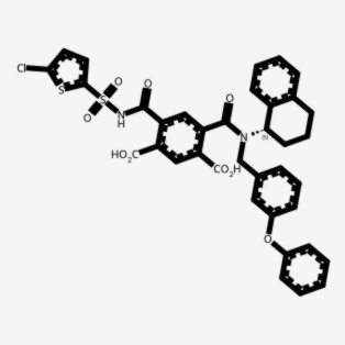 O=C(O)c1cc(C(=O)O)c(C(=O)N(Cc2cccc(Oc3ccccc3)c2)[C@H]2CCCc3ccccc32)cc1C(=O)NS(=O)(=O)c1ccc(Cl)s1